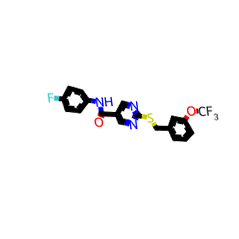 O=C(Nc1ccc(F)cc1)c1cnc(SCc2cccc(OC(F)(F)F)c2)nc1